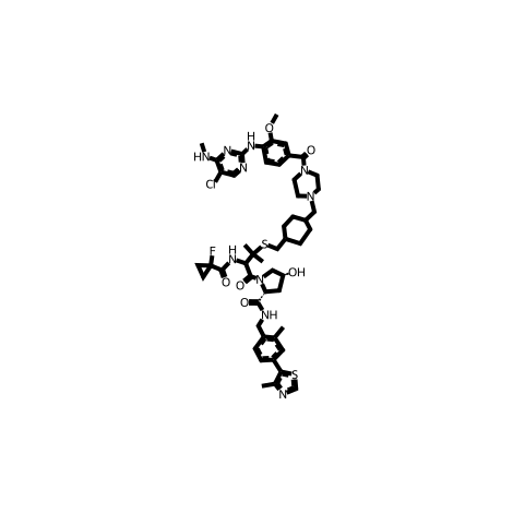 CNc1nc(Nc2ccc(C(=O)N3CCN(CC4CCC(CSC(C)(C)C(NC(=O)C5(F)CC5)C(=O)N5C[C@H](O)C[C@@H]5C(=O)NCc5ccc(-c6scnc6C)cc5C)CC4)CC3)cc2OC)ncc1Cl